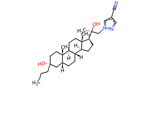 CCC[C@@]1(O)CC[C@@]2(C)[C@H](CC[C@@H]3[C@@H]2CC[C@@]2(C)[C@H]3CC[C@@H]2[C@@](C)(O)Cn2cc(C#N)cn2)C1